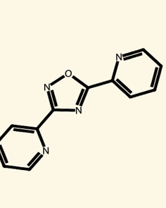 c1ccc(-c2noc(-c3ccccn3)n2)nc1